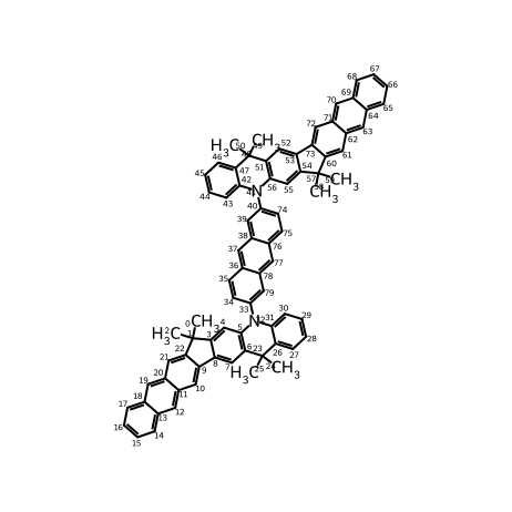 CC1(C)c2cc3c(cc2-c2cc4cc5ccccc5cc4cc21)C(C)(C)c1ccccc1N3c1ccc2cc3cc(N4c5ccccc5C(C)(C)c5cc6c(cc54)C(C)(C)c4cc5cc7ccccc7cc5cc4-6)ccc3cc2c1